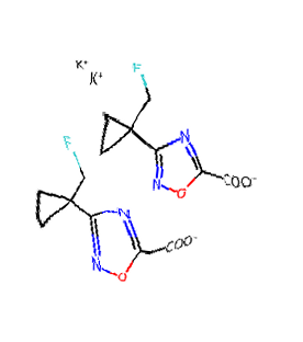 O=C([O-])c1nc(C2(CF)CC2)no1.O=C([O-])c1nc(C2(CF)CC2)no1.[K+].[K+]